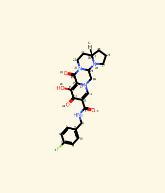 O=C(NCc1ccc(F)cc1)c1cn2c(c(O)c1=O)C(=O)N1CC[C@@H]3CCCN3C1C2